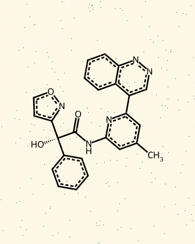 Cc1cc(NC(=O)[C@@](O)(c2ccccc2)c2ccon2)nc(-c2cnnc3ccccc23)c1